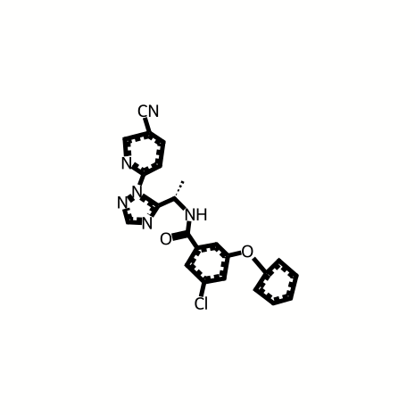 C[C@H](NC(=O)c1cc(Cl)cc(Oc2ccccc2)c1)c1ncnn1-c1ccc(C#N)cn1